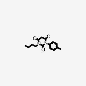 CCCCN1C(=O)CC(=O)N(c2ccc(C)cc2)C1=O